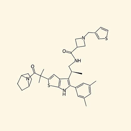 Cc1cc(C)cc(-c2[nH]c3sc(C(C)(C)C(=O)N4C5CCC4CC5)cc3c2[C@H](C)CNC(=O)C2CN(Cc3ccsc3)C2)c1